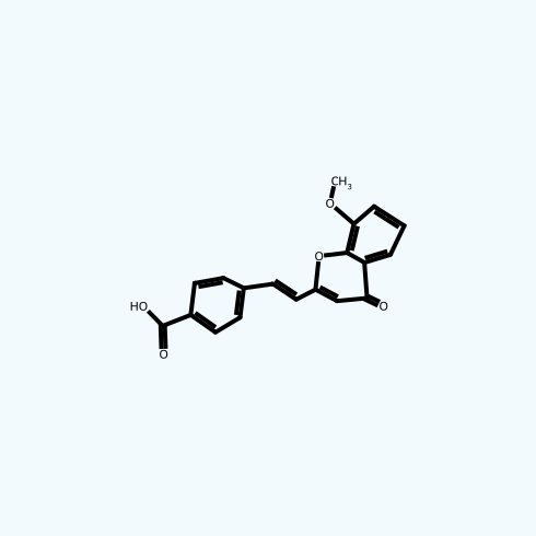 COc1cccc2c(=O)cc(C=Cc3ccc(C(=O)O)cc3)oc12